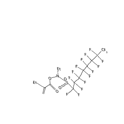 C=C(CC)C(=O)ON(CC)S(=O)(=O)C(F)(F)C(F)(F)C(F)(F)C(F)(F)C(F)(F)C(F)(F)C(F)(F)C(F)(F)F